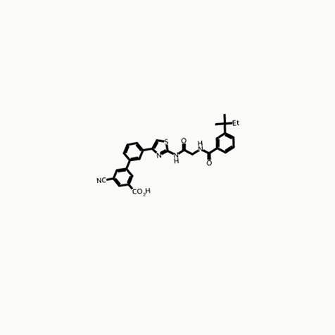 CCC(C)(C)c1cccc(C(=O)NCC(=O)Nc2nc(-c3cccc(-c4cc(C#N)cc(C(=O)O)c4)c3)cs2)c1